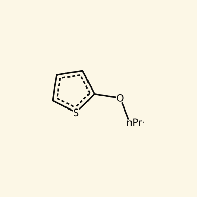 CC[CH]Oc1cccs1